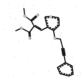 COC(=O)C(=Cc1ccccc1OCC#Cc1ccccc1)C(=O)OC